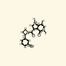 Cc1cn(C)c(=O)c2c(C(=O)N3CCC3c3cccc(Br)c3)cn(C)c12